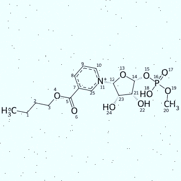 CCCCOC(=O)c1ccc[n+]([C@@H]2O[C@H](OP(=O)(O)OC)[C@H](O)[C@@H]2O)c1